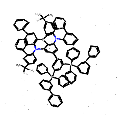 CC(C)(C)c1ccc2c(c1)B1c3cc(-c4ccccc4)ccc3N(c3ccc(C(C)(C)C)cc3-c3ccccc3)c3cc(-c4cc([Si](c5ccccc5)(c5ccccc5)c5cccc(-c6ccccc6)c5)cc([Si](c5ccccc5)(c5ccccc5)c5cccc(-c6ccccc6)c5)c4)cc(c31)N2c1ccccc1-c1ccccc1